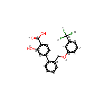 O=C(O)c1ccc(-c2ccccc2COc2cccc(C(F)(F)F)c2)cc1O